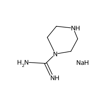 N=C(N)N1CCNCC1.[NaH]